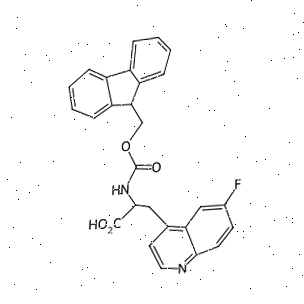 O=C(NC(Cc1ccnc2ccc(F)cc12)C(=O)O)OCC1c2ccccc2-c2ccccc21